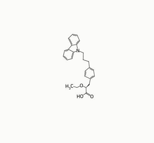 CCO[C@@H](Cc1ccc(CCCn2c3ccccc3c3ccccc32)cc1)C(=O)O